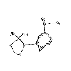 O=C(O)c1cccc(N2SCCC2(O)O)c1